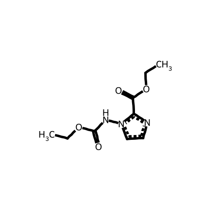 CCOC(=O)Nn1ccnc1C(=O)OCC